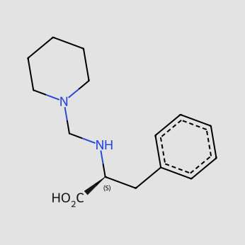 O=C(O)[C@H](Cc1ccccc1)NCN1CCCCC1